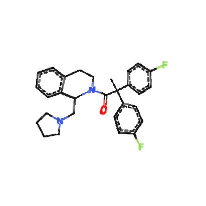 CC(C(=O)N1CCc2ccccc2C1CN1CCCC1)(c1ccc(F)cc1)c1ccc(F)cc1